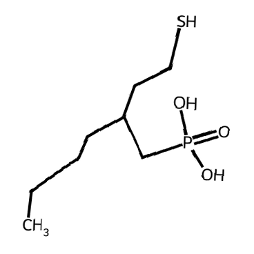 CCCCC(CCS)CP(=O)(O)O